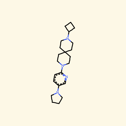 c1cc(N2CCC3(CC2)CCN(C2CCC2)CC3)ncc1N1CCCC1